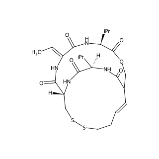 C/C=C1\NC(=O)[C@H]2CSSCC/C=C/C(COC(=O)[C@H](C(C)C)NC1=O)C(=O)N[C@H](C(C)C)C(=O)N2